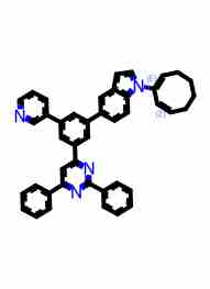 C1=C\C(n2ccc3cc(-c4cc(-c5cccnc5)cc(-c5cc(-c6ccccc6)nc(-c6ccccc6)n5)c4)ccc32)=C/CCCC/1